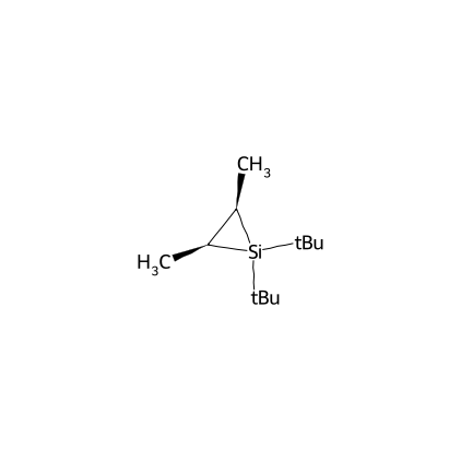 C[C@@H]1[C@H](C)[Si]1(C(C)(C)C)C(C)(C)C